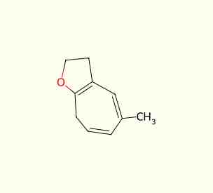 CC1=CC2=C(CC=C1)OCC2